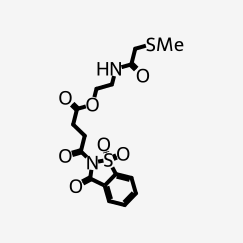 CSCC(=O)NCCOC(=O)CCC(=O)N1C(=O)c2ccccc2S1(=O)=O